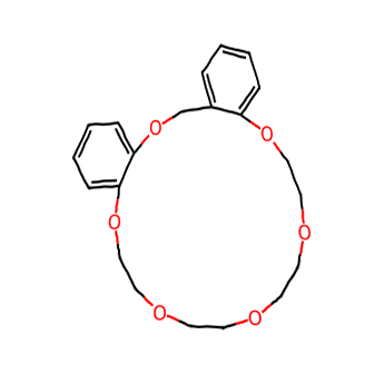 c1ccc2c(c1)COc1ccccc1OCCOCCOCCOCCO2